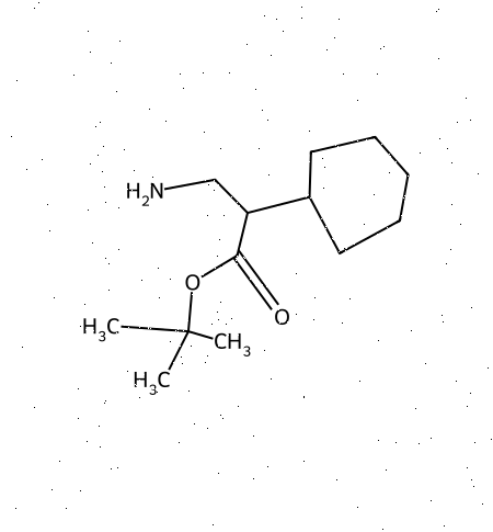 CC(C)(C)OC(=O)C(CN)C1CCCCC1